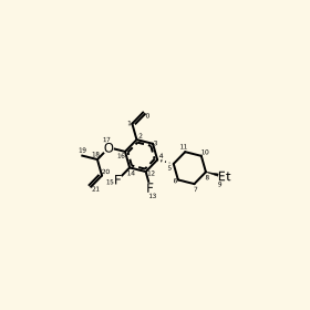 C=Cc1cc([C@H]2CC[C@H](CC)CC2)c(F)c(F)c1OC(C)C=C